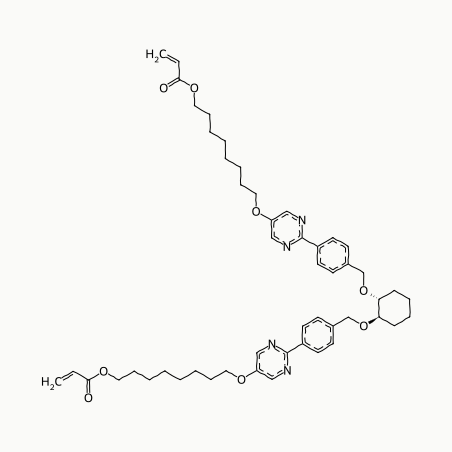 C=CC(=O)OCCCCCCCCOc1cnc(-c2ccc(CO[C@@H]3CCCC[C@H]3OCc3ccc(-c4ncc(OCCCCCCCCOC(=O)C=C)cn4)cc3)cc2)nc1